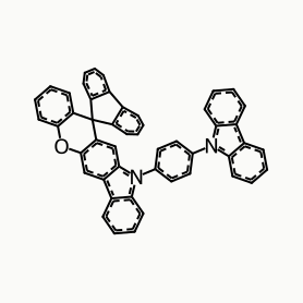 c1ccc2c(c1)Oc1cc3c4ccccc4n(-c4ccc(-n5c6ccccc6c6ccccc65)cc4)c3cc1C21c2ccccc2-c2ccccc21